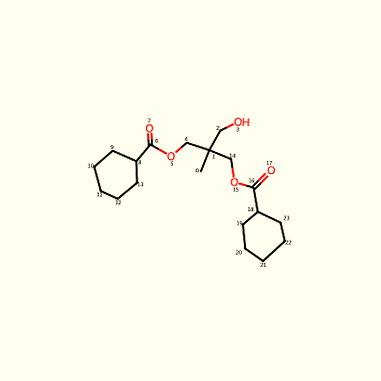 CC(CO)(COC(=O)C1CCCCC1)COC(=O)C1CCCCC1